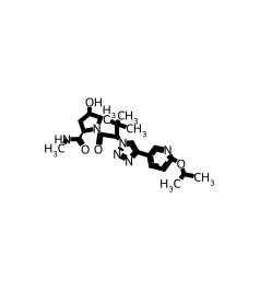 CNC(=O)[C@H]1CC(O)CN1C(=O)C(n1cc(-c2ccc(OC(C)C)nc2)nn1)C(C)(C)C